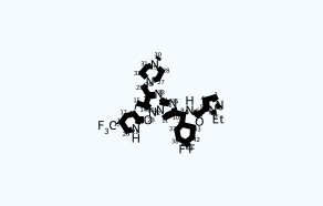 CCn1nccc1C(=O)N[C@H](c1cn2nc(C[C@H]3C[C@@H](C(F)(F)F)CNC3=O)c(CN3CCN(C)CC3)nc2n1)C1CCC(F)(F)CC1